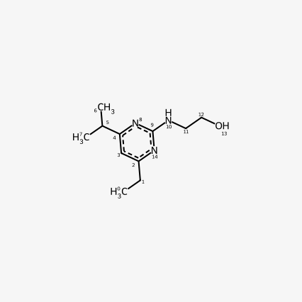 CCc1cc(C(C)C)nc(NCCO)n1